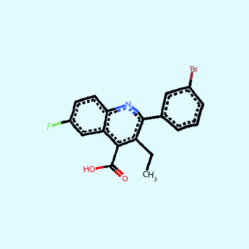 CCc1c(-c2cccc(Br)c2)nc2ccc(F)cc2c1C(=O)O